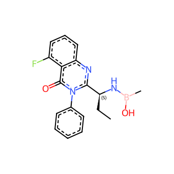 CC[C@H](NB(C)O)c1nc2cccc(F)c2c(=O)n1-c1ccccc1